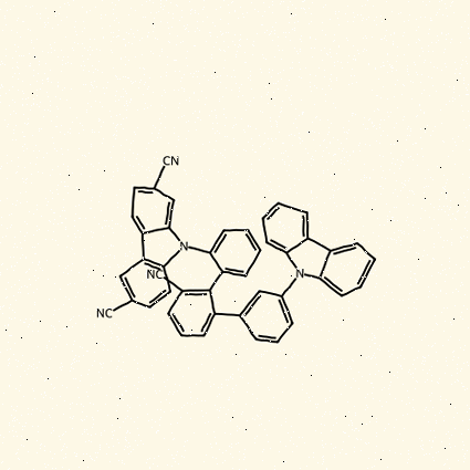 N#Cc1ccc2c(c1)c1ccc(C#N)cc1n2-c1ccccc1-c1c(C#N)cccc1-c1cccc(-n2c3ccccc3c3ccccc32)c1